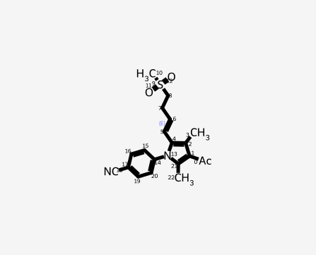 CC(=O)c1c(C)c(/C=C/CCS(C)(=O)=O)n(-c2ccc(C#N)cc2)c1C